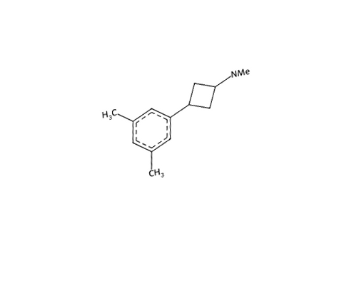 CNC1CC(c2cc(C)cc(C)c2)C1